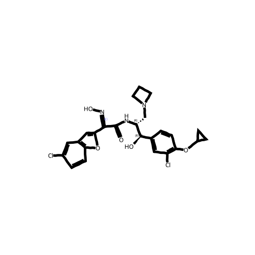 O=C(N[C@H](CN1CCC1)[C@H](O)c1ccc(OC2CC2)c(Cl)c1)/C(=N/O)c1cc2cc(Cl)ccc2o1